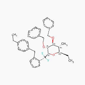 CCc1ccc(Cc2ccccc2C(F)(F)[C@@H]2O[C@H](CC)[C@@H](C)[C@H](OCc3ccccc3)[C@H]2OCc2ccccc2)cc1